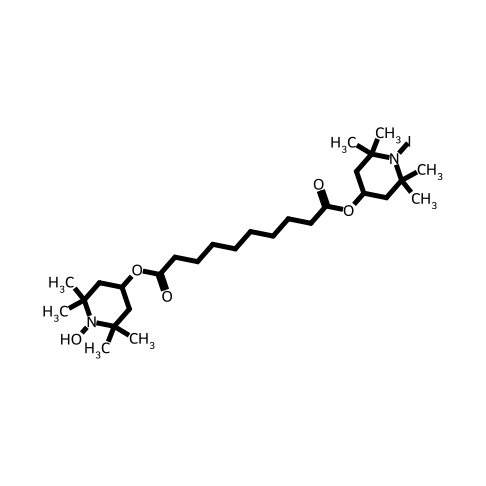 CC1(C)CC(OC(=O)CCCCCCCCC(=O)OC2CC(C)(C)N(I)C(C)(C)C2)CC(C)(C)N1O